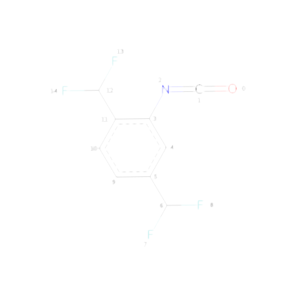 O=C=Nc1cc(C(F)F)ccc1C(F)F